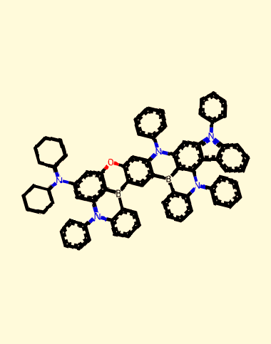 c1ccc(N2c3ccccc3B3c4cc5c(cc4Oc4cc(N(C6CCCCC6)C6CCCCC6)cc2c43)N(c2ccccc2)c2cc3c(c4c2B5c2ccccc2N4c2ccccc2)c2ccccc2n3-c2ccccc2)cc1